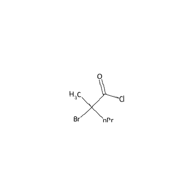 CCCC(C)(Br)C(=O)Cl